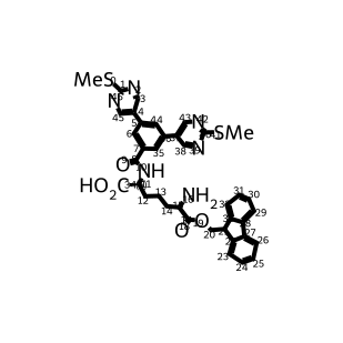 CSc1ncc(-c2cc(C(=O)N[C@@H](CCCC(N)C(=O)OCC3c4ccccc4-c4ccccc43)C(=O)O)cc(-c3cnc(SC)nc3)c2)cn1